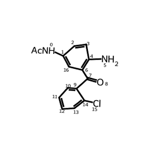 CC(=O)Nc1ccc(N)c(C(=O)c2ccccc2Cl)c1